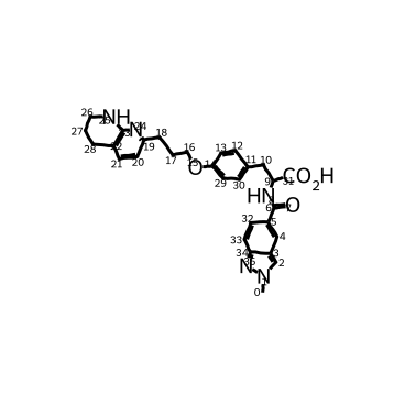 Cn1cc2cc(C(=O)NC(Cc3ccc(OCCCc4ccc5c(n4)NCCC5)cc3)C(=O)O)ccc2n1